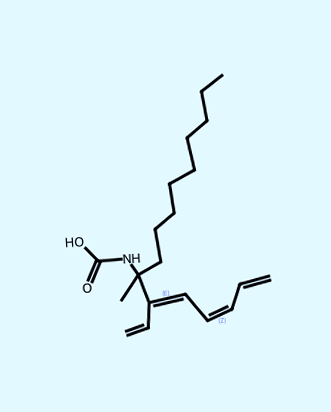 C=C/C=C\C=C(/C=C)C(C)(CCCCCCCCC)NC(=O)O